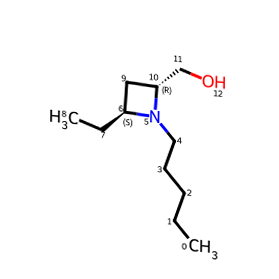 CCCCCN1[C@@H](CC)C[C@@H]1CO